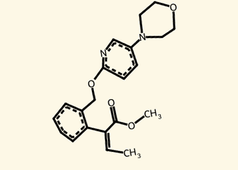 CC=C(C(=O)OC)c1ccccc1COc1ccc(N2CCOCC2)cn1